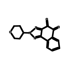 O=C1C(=O)c2nn(C3CCOCC3)nc2-c2ccccc21